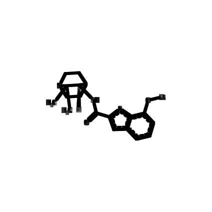 CCOc1cccc2cc(C(=O)N[C@H]3C4CCN(CC4)C3(C)C)sc12